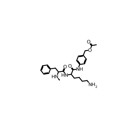 CNC(Cc1ccccc1)C(=O)NC(CCCCN)C(=O)Nc1ccc(COC(C)=O)cc1